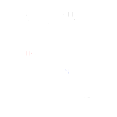 C=C(C(=O)O)C(O)c1cccc(C(F)(F)F)n1